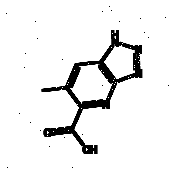 Cc1cc2[nH]nnc2nc1C(=O)O